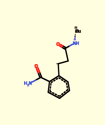 CC[C@@H](C)NC(=O)C[CH]c1ccccc1C(N)=O